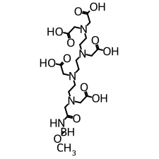 COBNC(=O)CN(CCN(CCN(CCN(CC(=O)O)CC(=O)O)CC(=O)O)CC(=O)O)CC(=O)O